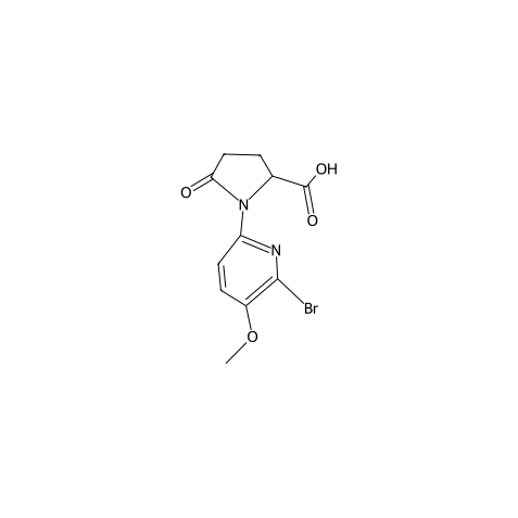 COc1ccc(N2C(=O)CCC2C(=O)O)nc1Br